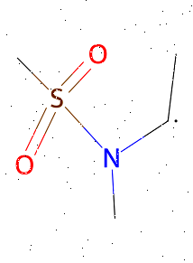 C[CH]N(C)S(C)(=O)=O